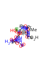 CC[C@H](C)[C@@H]([C@@H](CC(=O)N1CCCC1[C@H](OC)[C@@H](C)C(=O)N[C@@H](Cc1ccccc1)C(=O)O)OC)N(C)C(=O)C(NC(=O)C(NCCCc1ccc(N(C)C(=O)OCc2ccc(NC(=O)C(CCCNC(N)=O)NC(=O)C(NC(=O)CCCCCN3C(=O)C=CC3=O)C(C)C)cc2)cc1)C(C)C)C(C)C.O=C(O)C(F)(F)F